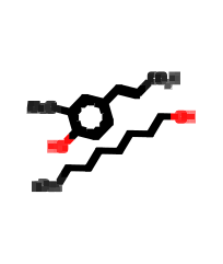 CCCCCCCCCCCCCCCCCO.COc1cc(C=CC(=O)O)ccc1O